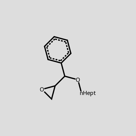 CCCCCCCOC(c1ccccc1)C1CO1